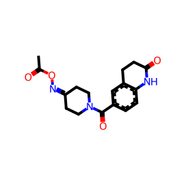 CC(=O)ON=C1CCN(C(=O)c2ccc3c(c2)CCC(=O)N3)CC1